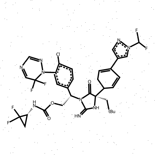 CC(C)(C)C[C@]1(C2C=CC(c3cnn(C(F)F)c3)=CC2)NC(=N)N([C@H](COC(=O)N[C@@H]2CC2(F)F)c2ccc(Cl)c(N3N=CN=CC3(F)F)c2)C1=O